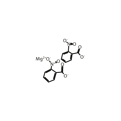 O=C([O-])c1ccccc1[N+](=O)[O-].O=C([O-])c1ccccc1[N+](=O)[O-].[Mg+2]